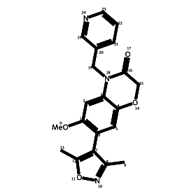 COc1cc2c(cc1-c1c(C)noc1C)OCC(=O)N2Cc1cccnc1